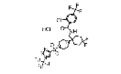 Cl.[2H]C([2H])([2H])n1cc(S(=O)(=O)N2CCN(C3(CNC(=O)c4ccc(C(F)(F)F)cc4Cl)CCC(F)(F)CC3)CC2)nn1